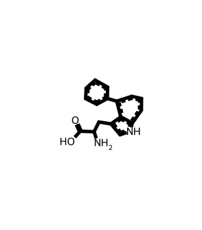 NC(Cc1c[nH]c2cccc(-c3ccccc3)c12)C(=O)O